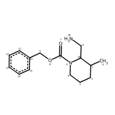 CC1CCCN(C(=O)OCc2ccccc2)C1CN